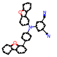 N#Cc1cc(C#N)cc(N(c2ccc(-c3cccc4c3oc3ccccc34)cc2)c2ccc3oc4ccccc4c3c2)c1